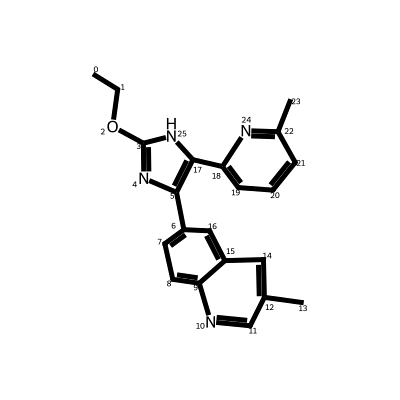 CCOc1nc(-c2ccc3ncc(C)cc3c2)c(-c2cccc(C)n2)[nH]1